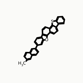 Cc1ccc2cc(-c3ccc4c(c3)oc3c4ccc4c3ccc3c5ccccc5sc34)ccc2c1